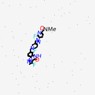 CNC(=O)c1ccc(-n2cc3c(n2)CCN(Cc2ccc4c([nH]c(=O)c5c(F)cnn54)c2F)C3)c(F)n1